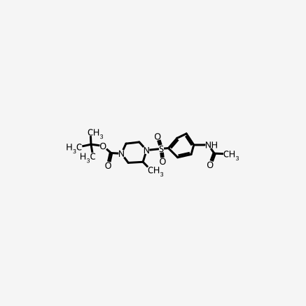 CC(=O)Nc1ccc(S(=O)(=O)N2CCN(C(=O)OC(C)(C)C)CC2C)cc1